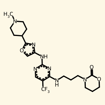 CN1CCC(c2nc(Nc3ncc(C(F)(F)F)c(NCCCN4CCCOC4=O)n3)co2)CC1